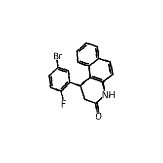 O=C1CC(c2cc(Br)ccc2F)c2c(ccc3ccccc23)N1